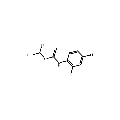 CC(C)OC(=O)Nc1ccc(Cl)cc1Cl